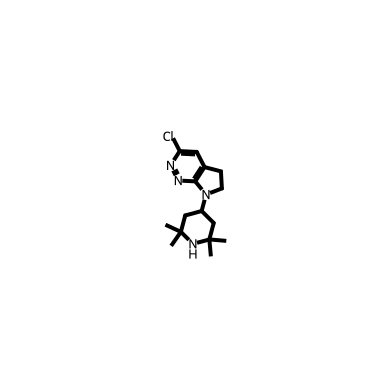 CC1(C)CC(N2CCc3cc(Cl)nnc32)CC(C)(C)N1